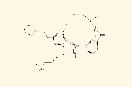 CC1CCCCOc2cc(CCN3CCCC3)cc3c2nc(c(=O)n3COCC[Si](C)(C)C)-c2cccc3c(=O)n1sc23